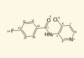 O=C(Nc1cnccc1Cl)c1ccc(F)cc1